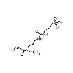 C=CC(=O)N(CC)CCCNC(=O)NCCCS(=O)(=O)O